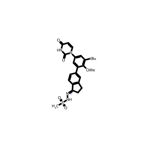 COc1c(-c2ccc3c(c2)CC/C3=N\NS(C)(=O)=O)cc(-n2ccc(=O)[nH]c2=O)cc1C(C)(C)C